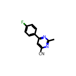 Cc1nc(C#N)cc(-c2ccc(F)cc2)n1